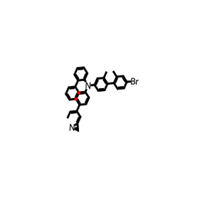 C/C=C(\C=C1C=N\1)c1ccc(N(c2ccc(-c3ccc(Br)cc3C)c(C)c2)c2ccccc2-c2ccccc2)cc1